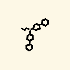 CCCN(c1ccc(-c2ccccc2)cc1)c1ccc(-c2ccccc2)cc1